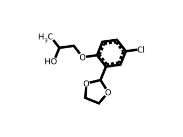 CC(O)COc1ccc(Cl)cc1C1OCCO1